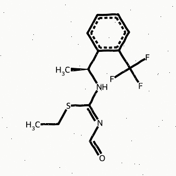 CCS/C(=N\C=O)N[C@@H](C)c1ccccc1C(F)(F)F